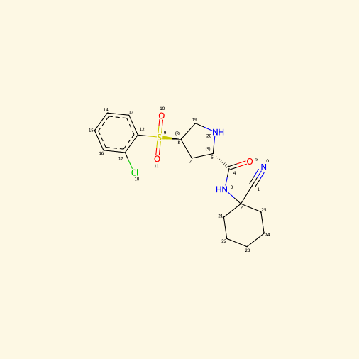 N#CC1(NC(=O)[C@@H]2C[C@@H](S(=O)(=O)c3ccccc3Cl)CN2)CCCCC1